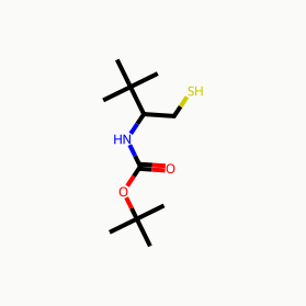 CC(C)(C)OC(=O)NC(CS)C(C)(C)C